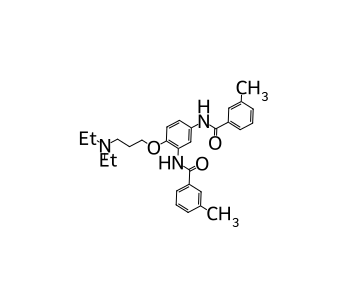 CCN(CC)CCCOc1ccc(NC(=O)c2cccc(C)c2)cc1NC(=O)c1cccc(C)c1